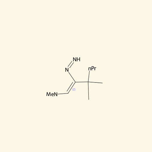 CCCC(C)(C)/C(=C/NC)N=N